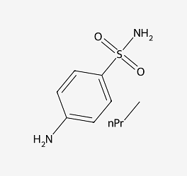 CCCC.Nc1ccc(S(N)(=O)=O)cc1